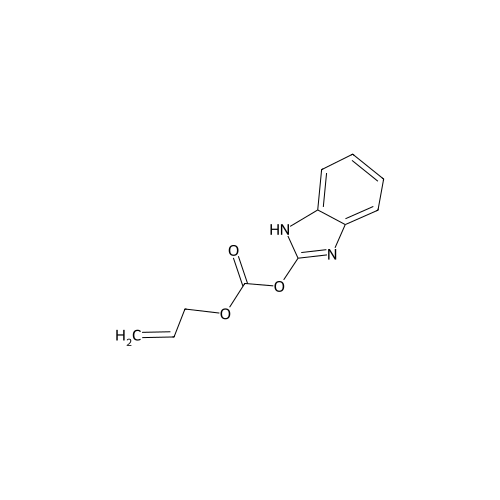 C=CCOC(=O)Oc1nc2ccccc2[nH]1